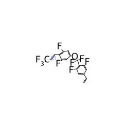 C=Cc1cc(F)c(C(F)(F)Oc2cc(F)c(/C=C/C(F)(F)F)c(F)c2)c(F)c1